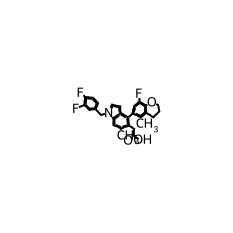 Cc1cc2c(ccn2Cc2ccc(F)c(F)c2)c(-c2cc(F)c3c(c2C)CCCO3)c1CC(=O)O